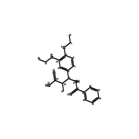 CCOc1ccc(C(NC(=O)c2ccccc2)C(C)C(=O)O)cc1OCC